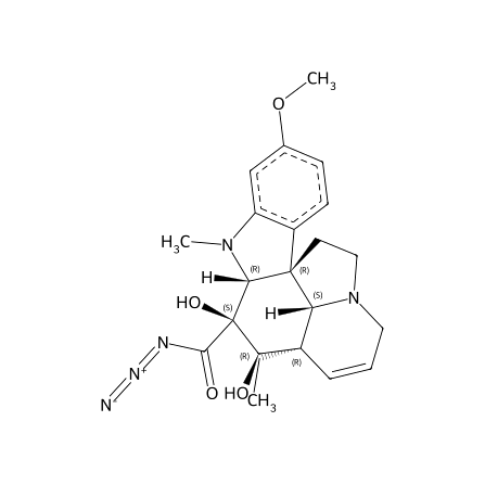 CC[C@]12C=CCN3CC[C@@]4(c5ccc(OC)cc5N(C)[C@H]4[C@@](O)(C(=O)N=[N+]=[N-])[C@@H]1O)[C@H]32